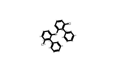 Clc1cccc(Sc2cccc(Cl)c2-c2ccccc2)c1-c1ccccc1